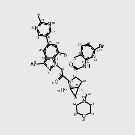 CC(=O)c1nn(CC(=O)N2[C@H](C(=O)Nc3nc(Br)ccc3C)C[C@@]3(CN4CCOCC4)C[C@@H]23)c2c(C)cc(-c3cnc(C)nc3)cc12